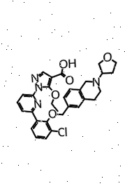 CCOc1c(C(=O)O)cnn1-c1cccc(-c2cccc(Cl)c2OCc2ccc3c(c2)CCN(C2CCOC2)C3)n1